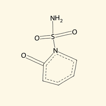 NS(=O)(=O)n1ccccc1=O